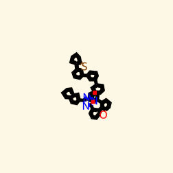 c1ccc(-c2cccc3oc4cccc(-c5nc(-c6cccc(-c7cccc(-c8cccc9c8sc8ccccc89)c7)c6)nc(-c6ccc7ccccc7c6)n5)c4c23)cc1